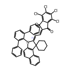 O=C1C(=C/C=C2/N(c3c(-c4ccccc4)cccc3-c3ccccc3)c3ccc4ccccc4c3C23CCCCC3)C(=O)c2c(Cl)c(Cl)c(Cl)c(Cl)c21